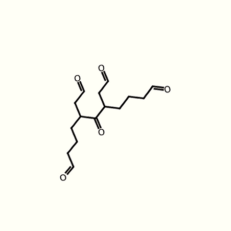 O=CCCCC(CC=O)C(=O)C(CC=O)CCCC=O